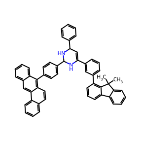 CC1(C)c2ccccc2-c2cccc(-c3cccc(C4=CC(c5ccccc5)NC(c5ccc(-c6c7ccccc7cc7c6ccc6ccccc67)cc5)N4)c3)c21